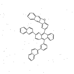 c1cc(-c2ccc3ccccc3c2)cc(-c2c3ccccc3c(-c3ccc4oc5cc6ccccc6cc5c4c3)c3cc(-c4ccc5ccccc5c4)ccc23)c1